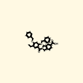 CCC1=C(OCc2ccccc2)CC(OCc2ccccc2)C(C(=O)N2Cc3ccc(C(=O)O)cc3C2)=C1